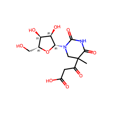 CC1(C(=O)CC(=O)O)CN([C@@H]2O[C@H](CO)[C@@H](O)[C@H]2O)C(=O)NC1=O